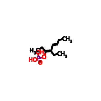 CCC=C/C(CC)=C(\CC)OP(=O)(O)O